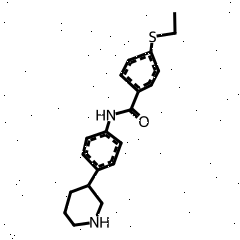 CCSc1ccc(C(=O)Nc2ccc(C3CCCNC3)cc2)cc1